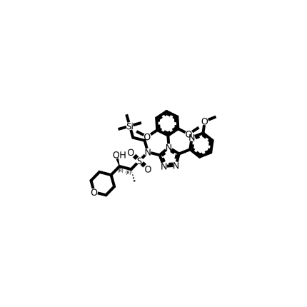 COc1cccc(-c2nnc(N(CC[Si](C)(C)C)S(=O)(=O)[C@H](C)[C@H](O)C3CCOCC3)n2-c2c(OC)cccc2OC)n1